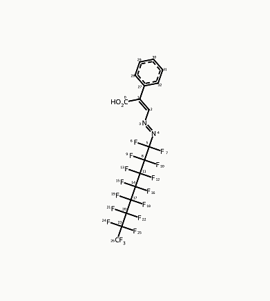 O=C(O)C(=CN=NC(F)(F)C(F)(F)C(F)(F)C(F)(F)C(F)(F)C(F)(F)C(F)(F)C(F)(F)F)c1ccccc1